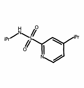 CC(C)NS(=O)(=O)c1cc(C(C)C)ccn1